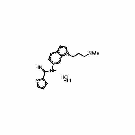 CNCCCn1ccc2ccc(NC(=N)c3cccs3)cc21.Cl.Cl